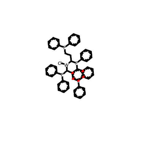 [Cl][W]([CH](CCP(c1ccccc1)c1ccccc1)P(c1ccccc1)c1ccccc1)[CH](CCP(c1ccccc1)c1ccccc1)P(c1ccccc1)c1ccccc1